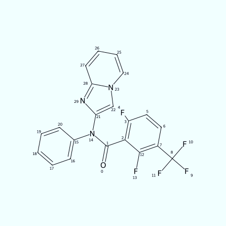 O=C(c1c(F)ccc(C(F)(F)F)c1F)N(c1ccccc1)c1cn2ccccc2n1